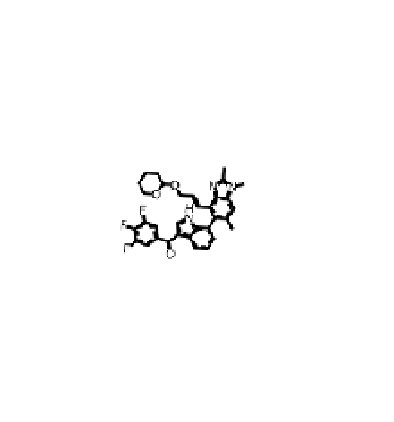 Cc1cc2c(nc(C)n2C)c(C=CCOC2CCCCO2)c1-c1cccc2c(C(=O)c3cc(F)c(F)c(F)c3)c[nH]c12